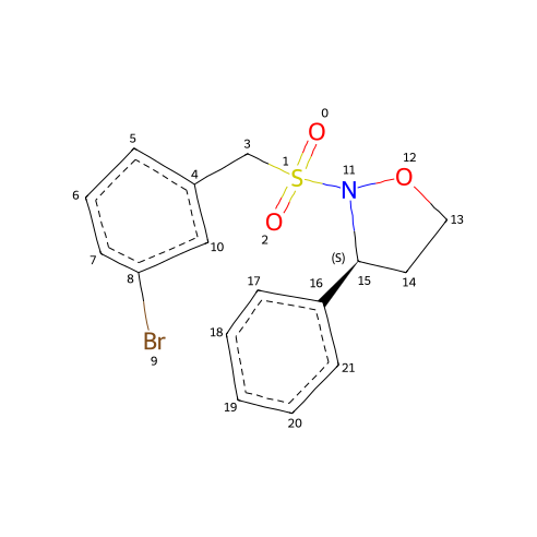 O=S(=O)(Cc1cccc(Br)c1)N1OCC[C@H]1c1ccccc1